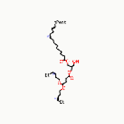 CC/C=C\CCOC(CCC(=O)OCC(CO)COC(=O)CCCCCCC/C=C\CC=CCCCCC)OCC/C=C\CC